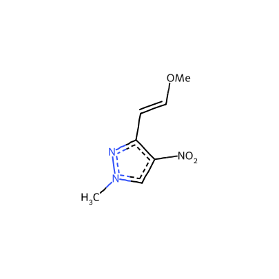 CO/C=C/c1nn(C)cc1[N+](=O)[O-]